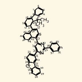 CC1(C)c2ccccc2-c2cccc(-c3ccc(-c4cc(-c5ccc6oc7ccccc7c6c5)nc(-c5ccccc5)n4)c4ccccc34)c21